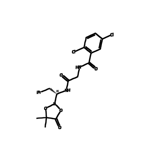 CC(C)C[C@H](NC(=O)CNC(=O)c1cc(Cl)ccc1Cl)B1OC(=O)C(C)(C)O1